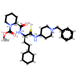 CC(C)(C)OC(=O)N1CCCC[C@H]1C(=O)N[C@H](CCC1CCCCC1)C(=S)NC1CCN(Cc2ccccc2)CC1